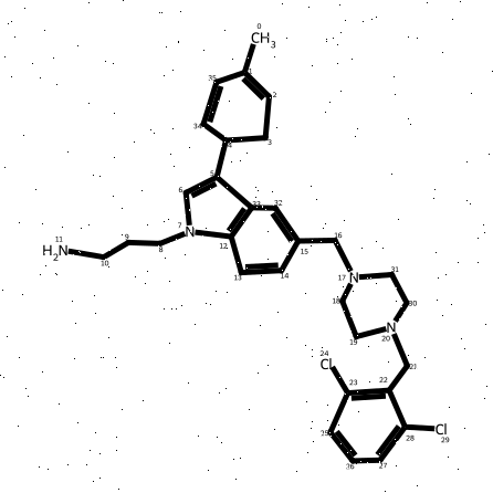 CC1=CCC(c2cn(CCCN)c3ccc(CN4CCN(Cc5c(Cl)cccc5Cl)CC4)cc23)C=C1